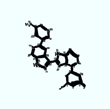 Cc1cc(F)cc(-c2nccc3[nH]c(-c4n[nH]c5cnc(-c6cncc(N)c6)cc45)nc23)c1